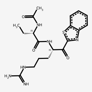 CC[C@H](NC(C)=O)C(=O)N[C@@H](CCCNC(=N)N)C(=O)c1nc2ccccc2s1